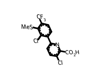 CSc1c(C(F)(F)F)ccc(-c2ccc(Cl)c(C(=O)O)n2)c1Cl